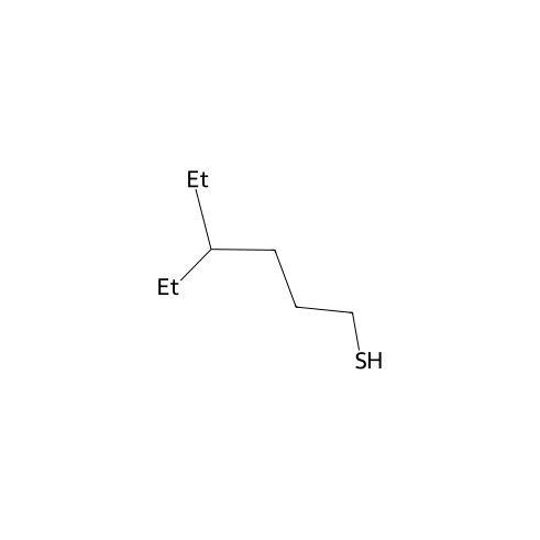 CCC(CC)CCCS